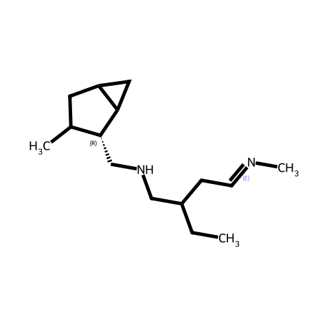 CCC(C/C=N/C)CNC[C@@H]1C(C)CC2CC21